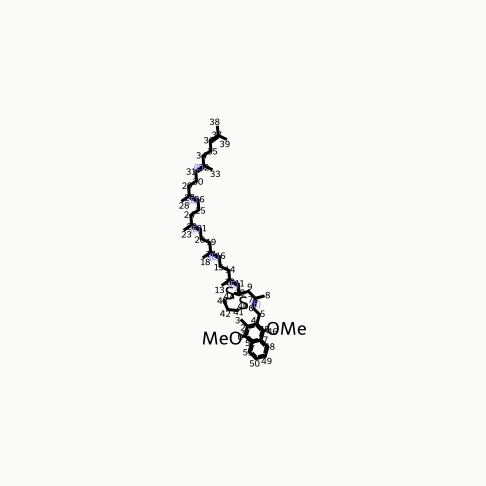 COc1c(C)c(C/C=C(\C)CC2(/C=C(\C)CC/C=C(\C)CC/C=C(\C)CC/C=C(\C)CC/C=C(\C)CCC=C(C)C)SCCCS2)c(OC)c2ccccc12